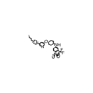 CCCCN1CCN(c2cncc(O[C@H]3CC[C@H](Nc4ccc([N+](=O)[O-])c(C(F)(F)F)c4)CC3)c2)CC1